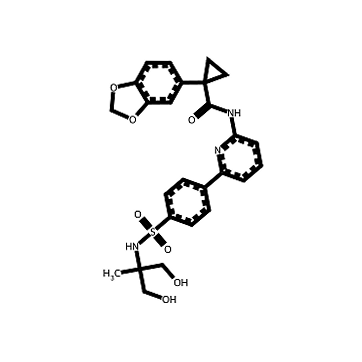 CC(CO)(CO)NS(=O)(=O)c1ccc(-c2cccc(NC(=O)C3(c4ccc5c(c4)OCO5)CC3)n2)cc1